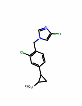 CCOC(=O)C1CC1c1ccc(Cn2cnc(Cl)c2)c(Cl)c1